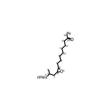 CCCCCCC(C)CC1OC1CCCCCCCC(=O)C(C)C